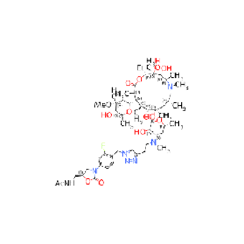 CC[C@H]1OC(=O)[C@H](C)[C@@H](C2C[C@@](C)(OC)[C@@H](O)[C@H](C)O2)[C@H](C)[C@@H](O[C@@H]2O[C@H](C)C[C@H](N(C)CCc3cn(Cc4ccc(N5C[C@H](CNC(C)=O)OC5=O)cc4F)nn3)[C@H]2O)[C@](C)(O)C[C@@H](C)CN(C)[C@H](C)[C@@H](O)[C@]1(C)O